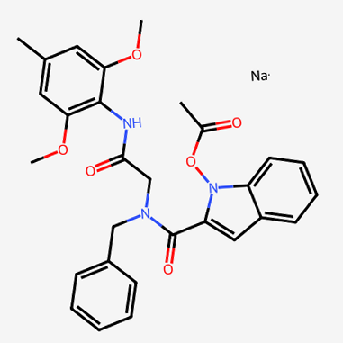 COc1cc(C)cc(OC)c1NC(=O)CN(Cc1ccccc1)C(=O)c1cc2ccccc2n1OC(C)=O.[Na]